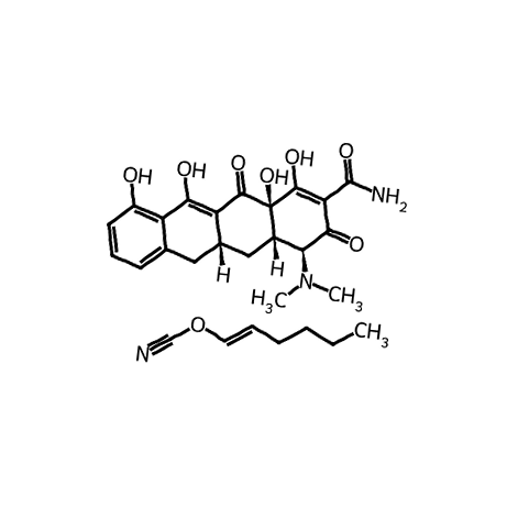 CCCCC=COC#N.CN(C)[C@@H]1C(=O)C(C(N)=O)=C(O)[C@@]2(O)C(=O)C3=C(O)c4c(O)cccc4C[C@H]3C[C@@H]12